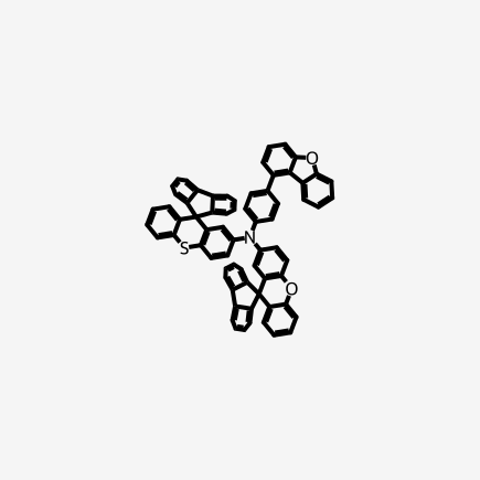 c1ccc2c(c1)Oc1ccc(N(c3ccc(-c4cccc5oc6ccccc6c45)cc3)c3ccc4c(c3)C3(c5ccccc5S4)c4ccccc4-c4ccccc43)cc1C21c2ccccc2-c2ccccc21